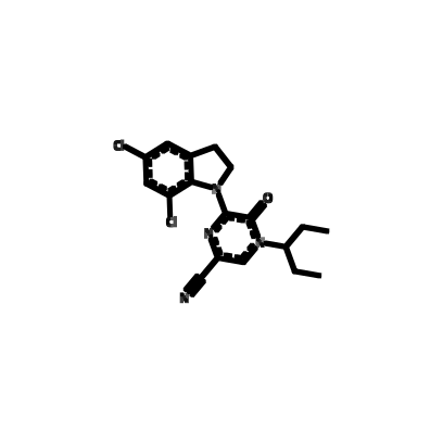 CCC(CC)n1cc(C#N)nc(N2CCc3cc(Cl)cc(Cl)c32)c1=O